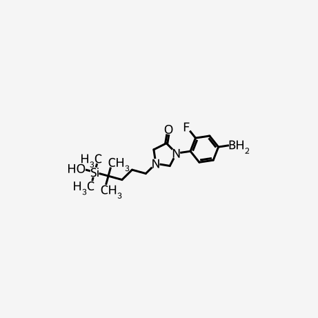 Bc1ccc(N2CN(CCCC(C)(C)[Si](C)(C)O)CC2=O)c(F)c1